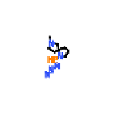 CN1CCC2(CCCN2PN=[N+]=[N-])C1